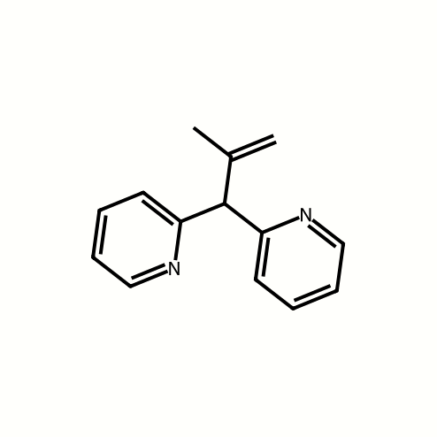 C=C(C)C(c1ccccn1)c1ccccn1